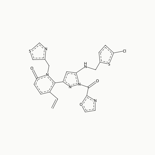 C=Cc1ccc(=O)n(Cc2cscn2)c1-c1cc(NCc2ccc(Cl)s2)n(C(=O)c2ncco2)n1